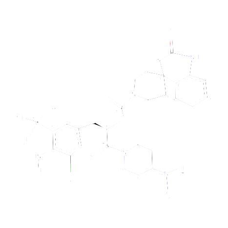 CNc1c(Cl)cc(C[C@@H](OC(=O)N2CCC3(CC2)CC(=O)Nc2ccccc23)C(=O)N2CCC(N(C)C)CC2)cc1C(F)(F)F